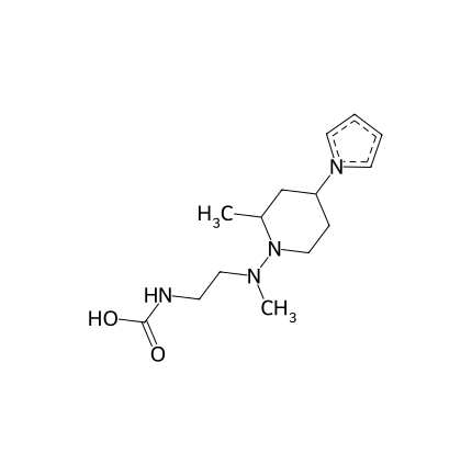 CC1CC(n2cccc2)CCN1N(C)CCNC(=O)O